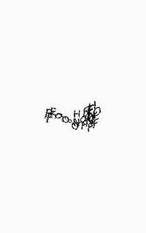 O=c1cc(C(F)F)nc(-c2c(C(F)(F)F)ccc(CNC(=O)[C@H]3C[C@H](OCc4ccc(C(F)(F)F)cc4)C3)c2F)[nH]1